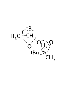 CC(C)(C)CC(C)(C)CC1OC1COCC1OC1CC(C)(C)CC(C)(C)C